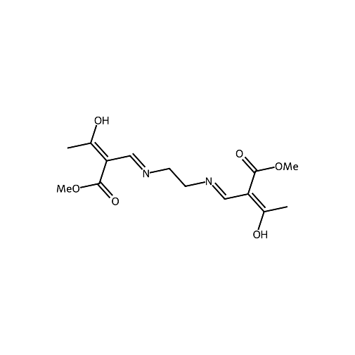 COC(=O)C(/C=N/CC/N=C/C(C(=O)OC)=C(/C)O)=C(\C)O